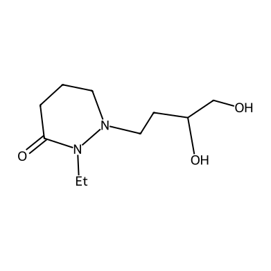 [CH2]CN1C(=O)CCCN1CCC(O)CO